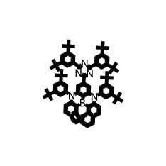 CC(C)(C)c1cc(-c2nc(-c3cc(C(C)(C)C)cc(C(C)(C)C)c3)nc(-c3cc4c5c(c3)N(c3cc(C(C)(C)C)cc(C(C)(C)C)c3)c3ccc6ccccc6c3B5c3c(ccc5ccccc35)N4c3cc(C(C)(C)C)cc(C(C)(C)C)c3)n2)cc(C(C)(C)C)c1